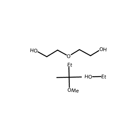 CCC(C)(C)OC.CCO.OCCOCCO